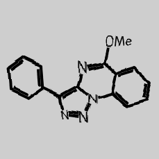 COc1nc2c(-c3ccccc3)nnn2c2ccccc12